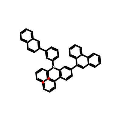 c1ccc(-c2ccc(-c3cc4ccccc4c4ccccc34)cc2N(c2ccccc2)c2cccc(-c3ccc4ccccc4c3)c2)cc1